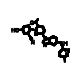 CC(=O)c1ccc(-n2cnc3cc(Nc4ccc(C)nn4)ccc32)nc1-c1ccc(O)cc1C#N